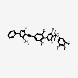 Cc1cc(-c2ccccc2)cc(F)c1C#Cc1cc(F)c(-c2cc(F)c(C(F)(F)Oc3cc(F)c(F)c(F)c3)c(F)c2)c(F)c1